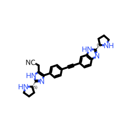 N#CCc1[nH]c([C@@H]2CCCN2)nc1-c1ccc(C#Cc2ccc3nc([C@@H]4CCCN4)[nH]c3c2)cc1